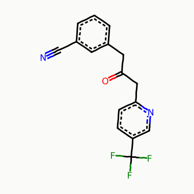 N#Cc1cccc(CC(=O)Cc2ccc(C(F)(F)F)cn2)c1